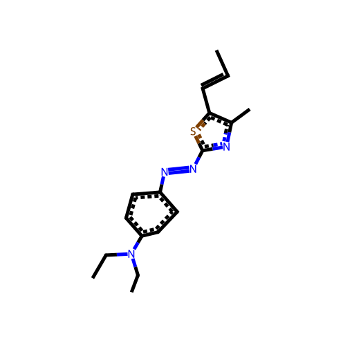 CC=Cc1sc(N=Nc2ccc(N(CC)CC)cc2)nc1C